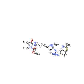 CCCNc1nc(Nc2ccc3sc(C)nc3c2)ncc1C#CCCCNC(=O)[C@H](C)N(C)C(=O)OC(C)(C)C